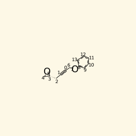 C(#CC[C@@H]1CO1)COc1ccccc1